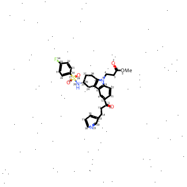 COC(=O)CCn1c2c(c3cc(C(=O)CCc4cccnc4)ccc31)C[C@H](NS(=O)(=O)c1ccc(F)cc1)CC2